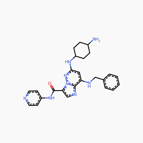 NC1CCC(Nc2cc(NCc3ccccc3)c3ncc(C(=O)Nc4ccncc4)n3n2)CC1